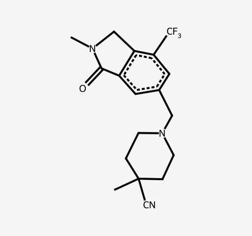 CN1Cc2c(cc(CN3CCC(C)(C#N)CC3)cc2C(F)(F)F)C1=O